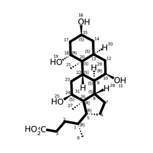 C[C@H](CCC(=O)O)[C@H]1CC[C@H]2[C@@H]3[C@H](O)C[C@@H]4C[C@H](O)C[C@@H](O)[C@]4(C)[C@H]3C[C@H](O)[C@]12C